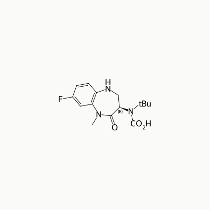 CN1C(=O)[C@H](N(C(=O)O)C(C)(C)C)CNc2ccc(F)cc21